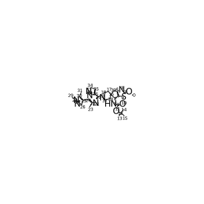 COc1nc2c(s1)[C@@H](NC(=O)OC(C)(C)C)C1(CCN(c3nc(C)c(-c4cnn(C)c4C)n4nccc34)CC1)C2